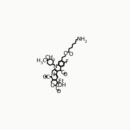 CC[C@@]1(O)C(=C=O)OCC2=C1C=C1C3=C(CN1C2=C=O)N(C1CCC(C)(C)CC1)c1cc(CCOC(=O)CCCCCN)c(F)cc1C3=C=O